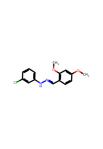 COc1ccc(/C=N/Nc2cccc(Cl)c2)c(OC)c1